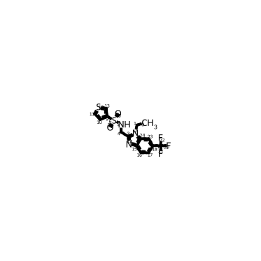 CCn1c(CNS(=O)(=O)c2ccsc2)nc2ccc(C(F)(F)F)cc21